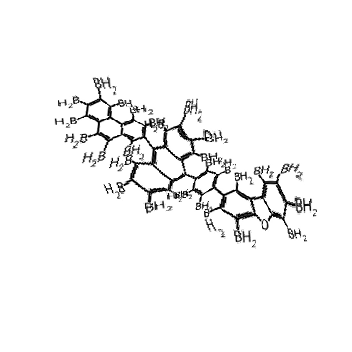 Bc1c(B)c(-c2c3c(B)c(B)c(B)c(B)c3c(-c3c(B)c(B)c4c(c3B)c(B)c(B)c3c(B)c(B)c(B)c(B)c34)c3c(B)c(B)c(B)c(B)c23)c(B)c(B)c1-c1c(B)c(B)c2oc3c(B)c(B)c(B)c(B)c3c2c1B